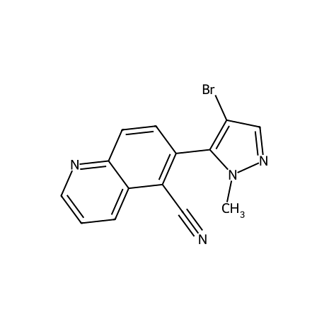 Cn1ncc(Br)c1-c1ccc2ncccc2c1C#N